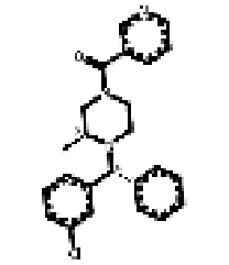 C[C@H]1CN(C(=O)c2cccnc2)CCN1[C@H](c1ccccc1)c1cccc(Cl)c1